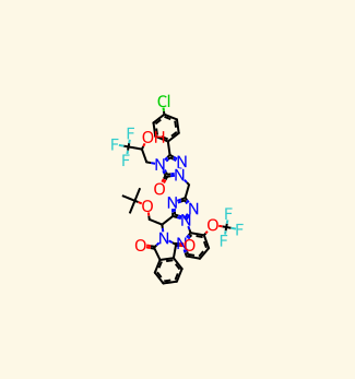 CC(C)(C)OCC(c1nc(Cn2nc(-c3ccc(Cl)cc3)n(CC(O)C(F)(F)F)c2=O)nn1-c1ncccc1OC(F)(F)F)N1C(=O)c2ccccc2C1=O